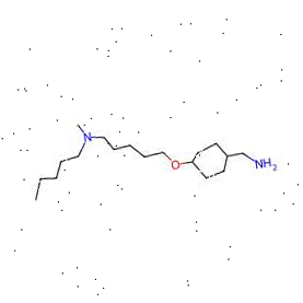 CCCCCN(C)CCCCCOC1CCC(CN)CC1